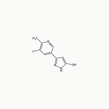 Cc1ncc(-c2cc(O)[nH]n2)cc1I